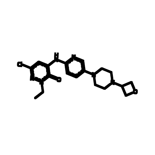 CCn1nc(Cl)cc(Nc2ccc(N3CCN(C4COC4)CC3)cn2)c1=O